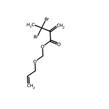 C=CCOCOC(=O)C(=C)C(C)(Br)Br